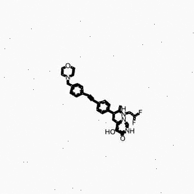 CC(NCC(F)F)C(Cc1nc[nH]c(=O)c1O)c1ccc(C#Cc2ccc(CN3CCOCC3)cc2)cc1